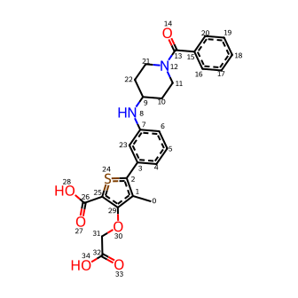 Cc1c(-c2cccc(NC3CCN(C(=O)c4ccccc4)CC3)c2)sc(C(=O)O)c1OCC(=O)O